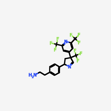 NCCc1ccc(C2CC(c3cc(C(F)(F)F)nc(C(F)(F)F)c3)(C(F)(F)F)C=N2)cc1